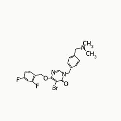 CN(C)Cc1ccc(Cn2cnc(OCc3ccc(F)cc3F)c(Br)c2=O)cc1